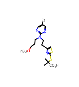 CCCCOCCCN(CCc1csc(SC(C)(C)C(=O)O)n1)c1ncc(CC)cn1